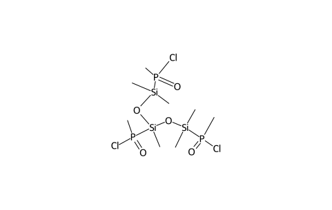 C[Si](C)(O[Si](C)(O[Si](C)(C)P(C)(=O)Cl)P(C)(=O)Cl)P(C)(=O)Cl